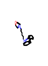 c1ccc2c(c1)c1ccccc1n2CCCCCCN1CCOCC1